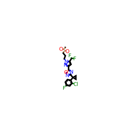 CS(=O)(=O)CCCn1nc(-c2nc(C3(c4ccc(F)cc4Cl)CC3)no2)cc1C(F)F